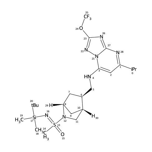 CC(C)c1cc(NC[C@@H]2C[C@@H]3C[C@H]2CN3S(C)(=O)=N[Si](C)(C)C(C)(C)C)n2nc(OC(F)(F)F)nc2n1